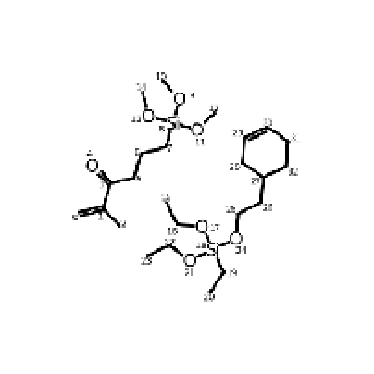 C=C(C)C(=O)CCC[Si](OC)(OC)OC.CCO[Si](CC)(OCC)OCCC1CC=CCC1